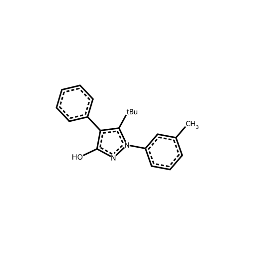 Cc1cccc(-n2nc(O)c(-c3ccccc3)c2C(C)(C)C)c1